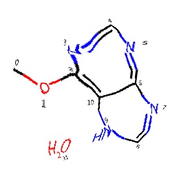 COc1ncnc2nc[nH]c12.O